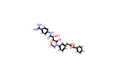 N=C(N)c1ccc(NC(=O)[C@H](O)[C@H]2OCCN(c3cccc(CC4OC(c5ccccc5)O4)c3)C2=O)cc1